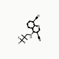 CC(C)(CNc1c(C#N)cnc2c(C#N)cccc12)C(F)(F)F